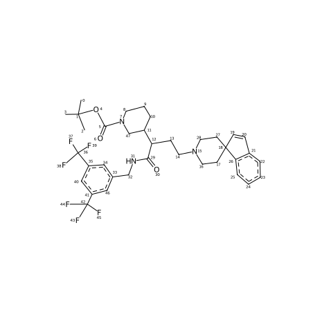 CC(C)(C)OC(=O)N1CCCC(C(CCN2CCC3(C=Cc4ccccc43)CC2)C(=O)NCc2cc(C(F)(F)F)cc(C(F)(F)F)c2)C1